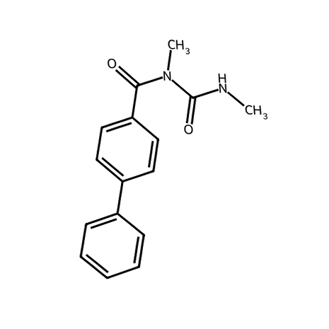 CNC(=O)N(C)C(=O)c1ccc(-c2ccccc2)cc1